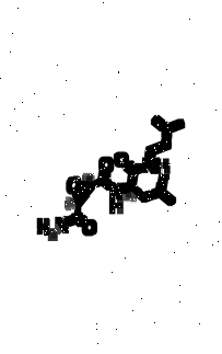 CC(C)CCNC(=O)[C@@H](CC(C)C)NC(=O)[C@@H]1O[C@H]1C(N)=O